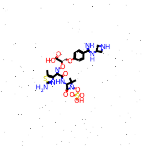 Cc1sc(N)nc1/C(=N/O[C@@H](COc1ccc(C(=N)NC2CNC2)cc1)C(=O)O)C(=O)N[C@@H]1C(=O)N(OS(=O)(=O)O)C1(C)C